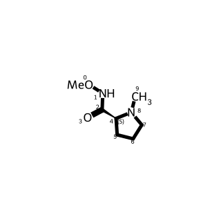 CONC(=O)[C@@H]1CCCN1C